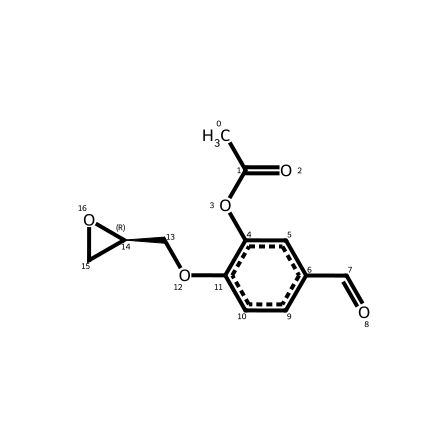 CC(=O)Oc1cc(C=O)ccc1OC[C@H]1CO1